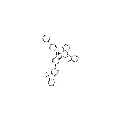 CC1(C)c2ccccc2-c2ccc(-c3ccc4c(c3)c3c5sc6ccccc6c5c5ccccc5c3n4-c3ccc(-c4ccccc4)cc3)cc21